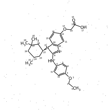 CCOc1ccc(Nc2nc3cc(OCC(=O)O)ccc3n2[C@H]2C[C@H](C)CC(C)(C)C2)cc1